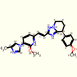 COc1ccc([C@@H]2CCCn3nc(/C=C/c4ccc(-n5cnc(C)c5)c(OC)n4)nc32)cc1